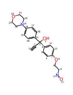 C#CC(O)(c1ccc(OCCN=O)cc1)c1ccc(N2CCOCC2)cc1